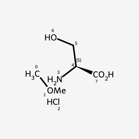 COC.Cl.N[C@@H](CO)C(=O)O